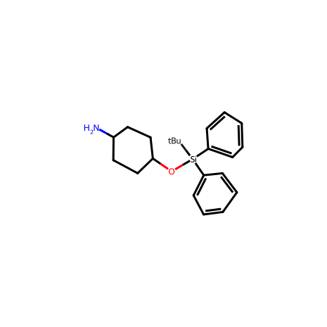 CC(C)(C)[Si](OC1CCC(N)CC1)(c1ccccc1)c1ccccc1